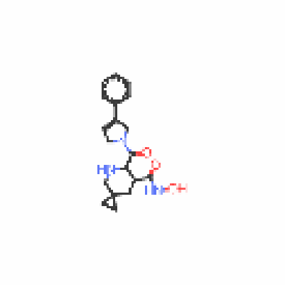 O=C(NO)C1CC2(CC2)CNC1C(=O)N1CC=C(c2ccccc2)C1